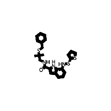 CC(C)(CNC(=O)c1cc2cccc(NSc3cccs3)c2[nH]1)SCc1ccccc1